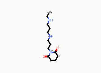 CC(C)CNCCCNCCCN1C(=O)CCCC1=O